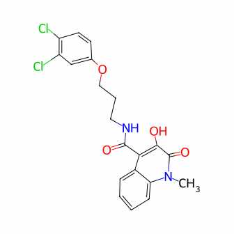 Cn1c(=O)c(O)c(C(=O)NCCCOc2ccc(Cl)c(Cl)c2)c2ccccc21